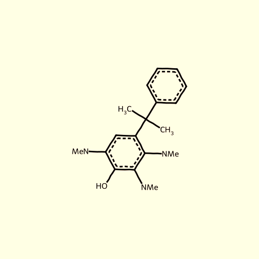 CNc1cc(C(C)(C)c2ccccc2)c(NC)c(NC)c1O